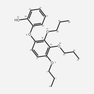 CCCOc1ccc(Oc2ccccc2O)c(OCCC)c1OCCC